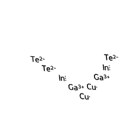 [Cu].[Cu].[Ga+3].[Ga+3].[In].[In].[Te-2].[Te-2].[Te-2]